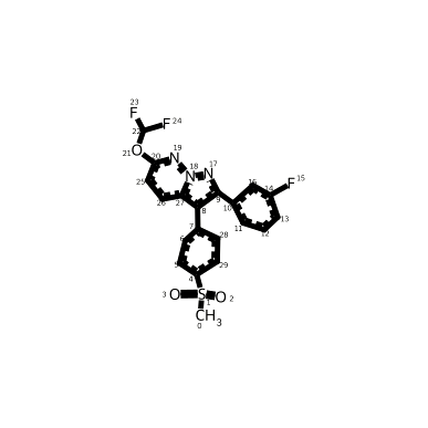 CS(=O)(=O)c1ccc(-c2c(-c3cccc(F)c3)nn3nc(OC(F)F)ccc23)cc1